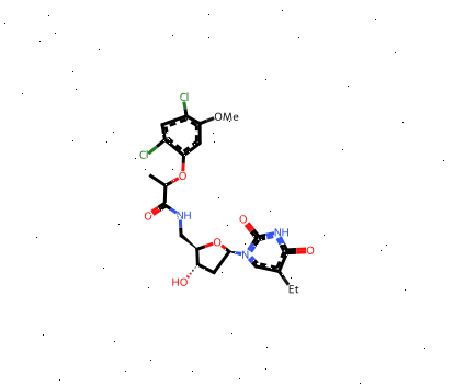 CCc1cn([C@H]2C[C@H](O)[C@@H](CNC(=O)C(C)Oc3cc(OC)c(Cl)cc3Cl)O2)c(=O)[nH]c1=O